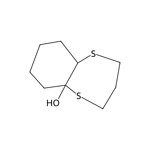 OC12CCCCC1SCCCS2